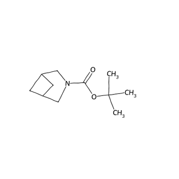 CC(C)(C)OC(=O)N1CC2CC(C2)C1